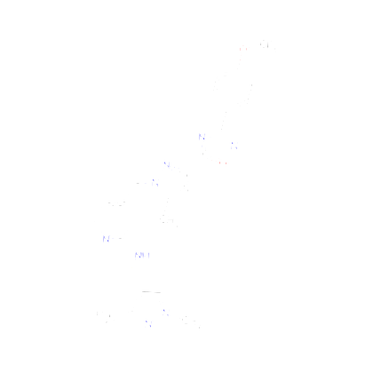 Cc1nn(C)cc1CNc1cc(Cn2nc(-c3nc(-c4ccc(OC(F)(F)F)cc4)no3)cc2C)ccn1